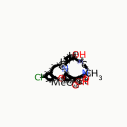 CC[C@@H]1C(=O)N(C)CC/C=C/[C@H](O)[C@@H]2CC[C@H]2CN2CCCCc3cc(Cl)ccc3COc3ccc(cc32)[C@]1(O)C(=O)OC